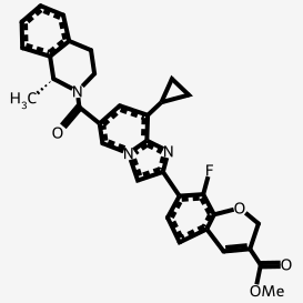 COC(=O)C1=Cc2ccc(-c3cn4cc(C(=O)N5CCc6ccccc6[C@H]5C)cc(C5CC5)c4n3)c(F)c2OC1